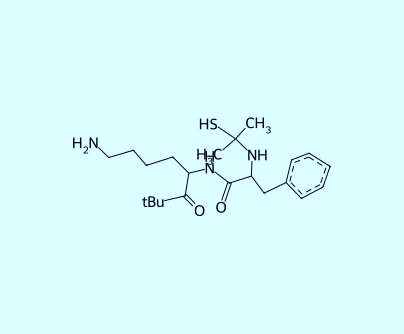 CC(C)(S)NC(Cc1ccccc1)C(=O)NC(CCCCN)C(=O)C(C)(C)C